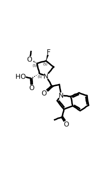 CO[C@H]1[C@@H](C(=O)O)N(C(=O)Cn2cc(C(C)=O)c3ccccc32)C[C@@H]1F